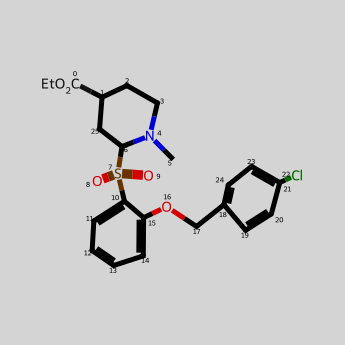 CCOC(=O)C1CCN(C)C(S(=O)(=O)c2ccccc2OCc2ccc(Cl)cc2)C1